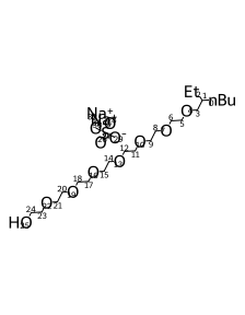 CCCCC(CC)COCCOCCOCCOCCOCCOCCOCCO.O=S(=O)([O-])[O-].[Na+].[Na+]